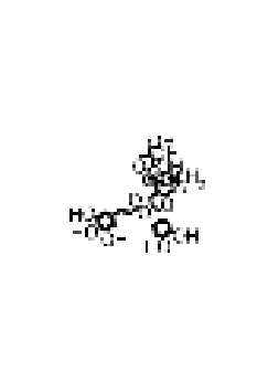 C=C(O)/C=C1/O[C@H](c2ccc(O)c(O)c2)[C@H](OC(=O)/C=C/c2cc(O)c(O)c(O)c2)C/C1=C(/C)OC1OCC(O)(CO)C1O